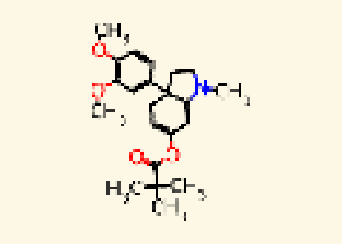 COc1ccc(C23CC=C(OC(=O)C(C)(C)C)CC2N(C)CC3)cc1OC